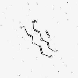 C=O.CCCC=COC=CCCC.CCCC=COC=CCCC